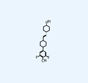 CCC[C@H]1CC[C@H](/C=C/C2CCC(c3cc(F)c(C#N)c(F)c3)CC2)CC1